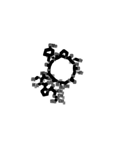 CC[C@H](C)[C@H]1NC(=O)[C@@H](NC(=O)[C@@H](CC(C)C)N(C)C(=O)C2CCCN2C(=O)[C@H](C)O[Si](C)(C)C(C)(C)C)[C@@H](C)OC(=O)[C@H](Cc2ccc(OC)cc2)N(C)C(=O)[C@@H]2CCCN2C(=O)[C@H](CC(C)C)NC(=O)[C@H](C(C)C)OC(=O)C[C@@H]1O